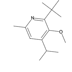 COc1c(C(C)C)cc(C)nc1C(C)(C)C